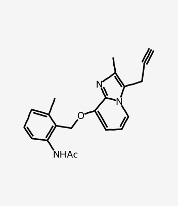 C#CCc1c(C)nc2c(OCc3c(C)cccc3NC(C)=O)cccn12